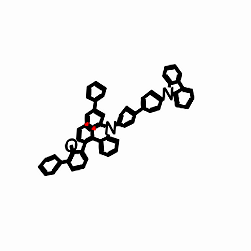 c1ccc(-c2cccc(N(c3ccc(-c4ccc(-n5c6ccccc6c6ccccc65)cc4)cc3)c3ccccc3-c3cccc4oc5c(-c6ccccc6)cccc5c34)c2)cc1